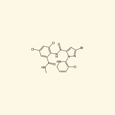 CNC(=O)c1cc(Cl)cc(Cl)c1NC(=O)c1cc(Br)nn1C1=C(Cl)C=CCN1